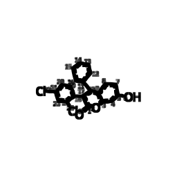 O=c1oc2cc(O)ccc2c(-c2ccccc2)c1-c1ccc(Cl)cc1Cl